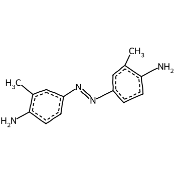 Cc1cc(N=Nc2ccc(N)c(C)c2)ccc1N